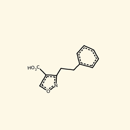 O=C(O)c1conc1CCc1ccccc1